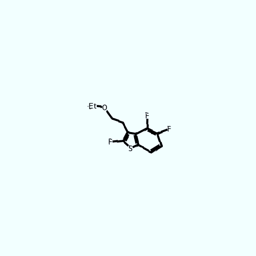 C[CH]OCCc1c(F)sc2ccc(F)c(F)c12